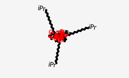 C=C(C)C(=O)C(CCCCCCCCCCCCCC(C)C)(C(=O)[O][Ti](=[O])([O]C(C)C)([C](=O)C(CCCCCCCCCCCCCC(C)C)(C(=O)C(=C)C)C(=O)C(=C)C)[C](=O)C(CCCCCCCCCCCCCC(C)C)(C(=O)C(=C)C)C(=O)C(=C)C)C(=O)C(=C)C